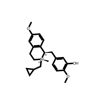 COc1ccc2c(c1)CC[N@@+](C)(CC1CC1)[C@@H]2Cc1ccc(OC)c(O)c1